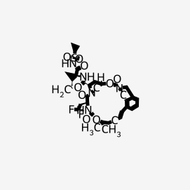 C=C[C@@H]1C[C@]1(NC(=O)[C@@H]1C[C@@H]2CN1C(=O)[C@H](CC(F)F)NC(=O)OC(C)(C)CC/C=C/c1cccc3c1CN(C3)C(=O)O2)C(=O)NS(=O)(=O)C1CC1